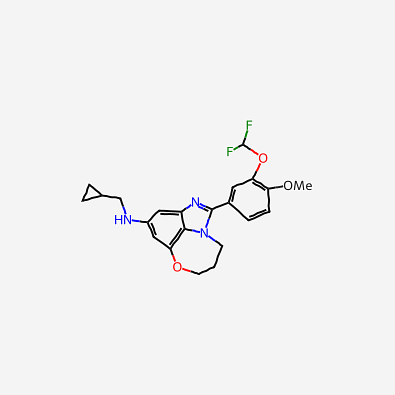 COc1ccc(-c2nc3cc(NCC4CC4)cc4c3n2CCCO4)cc1OC(F)F